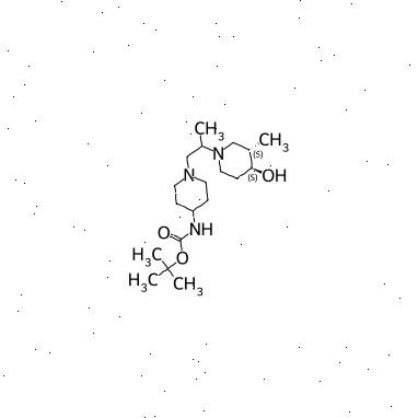 CC(CN1CCC(NC(=O)OC(C)(C)C)CC1)N1CC[C@H](O)[C@@H](C)C1